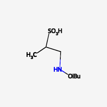 CC(C)CONCC(C)S(=O)(=O)O